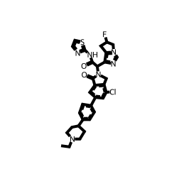 CCN1CCC(c2ccc(-c3cc(Cl)c4c(c3)C(=O)N(C(C(=O)Nc3nccs3)c3ncn5c3CC(F)C5)C4)cc2)CC1